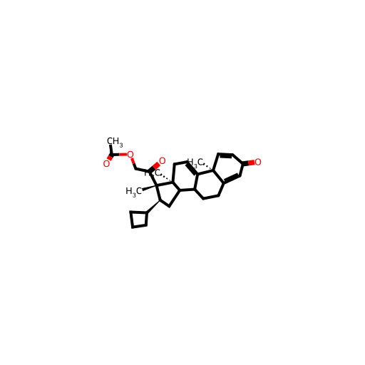 CC(=O)OCC(=O)[C@@]1(C)[C@H](C2CCC2)CC2C3CCC4=CC(=O)C=C[C@]4(C)C3=CC[C@@]21C